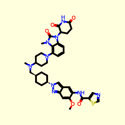 COc1cc2nn([C@H]3CC[C@H](CN(C)C4CCN(c5cccc6c5n(C)c(=O)n6C5CCC(=O)NC5=O)CC4)CC3)cc2cc1NC(=O)c1cncs1